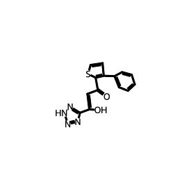 O=C(C=C(O)c1nn[nH]n1)c1sccc1-c1ccccc1